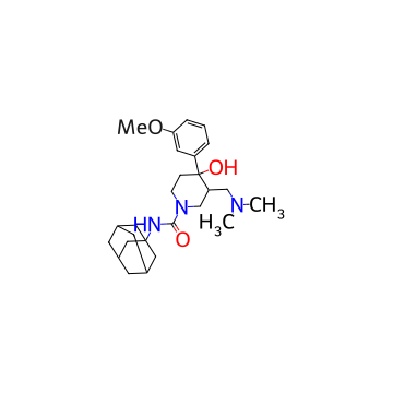 COc1cccc(C2(O)CCN(C(=O)NC34CC5CC(CC(C5)C3)C4)CC2CN(C)C)c1